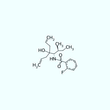 C=CCC(O)(CC=C)[C@@H](NS(=O)(=O)c1ccccc1F)[C@@H](C)CC